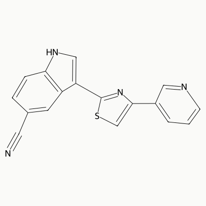 N#Cc1ccc2[nH]cc(-c3nc(-c4cccnc4)cs3)c2c1